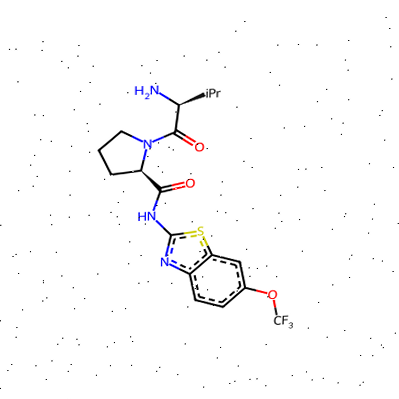 CC(C)[C@H](N)C(=O)N1CCC[C@@H]1C(=O)Nc1nc2ccc(OC(F)(F)F)cc2s1